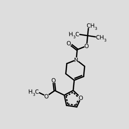 COC(=O)c1ccoc1C1=CCN(C(=O)OC(C)(C)C)CC1